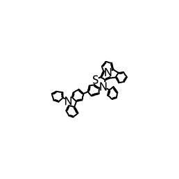 c1ccc(N2c3ccc(-c4ccc5c(c4)c4ccccc4n5-c4ccccc4)cc3Sc3c2c2c4ccccc4c4cccc3n42)cc1